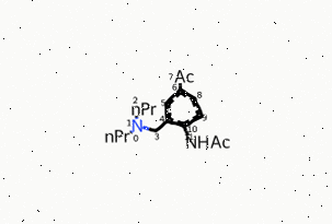 CCCN(CCC)Cc1cc(C(C)=O)ccc1NC(C)=O